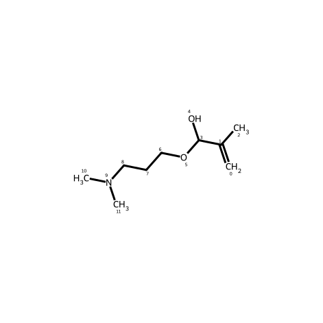 C=C(C)C(O)OCCCN(C)C